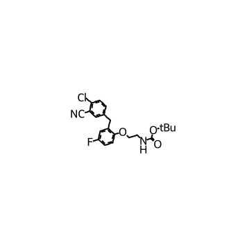 CC(C)(C)OC(=O)NCCOc1ccc(F)cc1Cc1ccc(Cl)c(C#N)c1